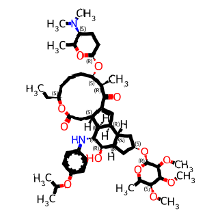 CC[C@H]1CCC[C@H](O[C@H]2CC[C@H](N(C)C)C(C)O2)[C@@H](C)C(=O)C2=C[C@H]3[C@@H]4C[C@H](O[C@@H]5OC(C)[C@H](OC)C(OC)C5OC)C[C@H]4[C@@H](O)[C@H](Nc4ccc(OC(C)C)cc4)[C@H]3[C@@H]2CC(=O)O1